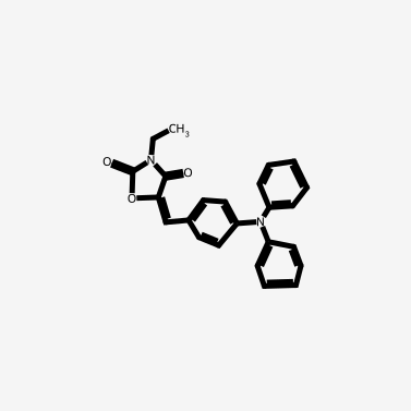 CCN1C(=O)O/C(=C/c2ccc(N(c3ccccc3)c3ccccc3)cc2)C1=O